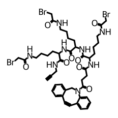 C#CCNC(=O)C(CCCCNC(=O)CBr)NC(=O)C(CCCCNC(=O)CBr)NC(=O)C(CCCCNC(=O)CBr)NC(=O)CCC(=O)N1Cc2ccccc2C#Cc2ccccc21